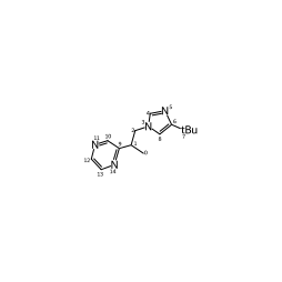 CC(Cn1cnc(C(C)(C)C)c1)c1cnccn1